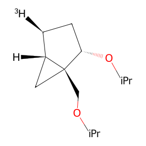 [3H][C@H]1C[C@H](OC(C)C)[C@]2(COC(C)C)C[C@H]12